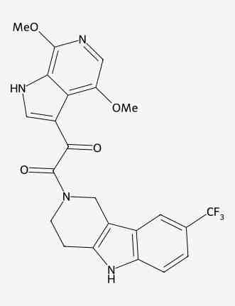 COc1ncc(OC)c2c(C(=O)C(=O)N3CCc4[nH]c5ccc(C(F)(F)F)cc5c4C3)c[nH]c12